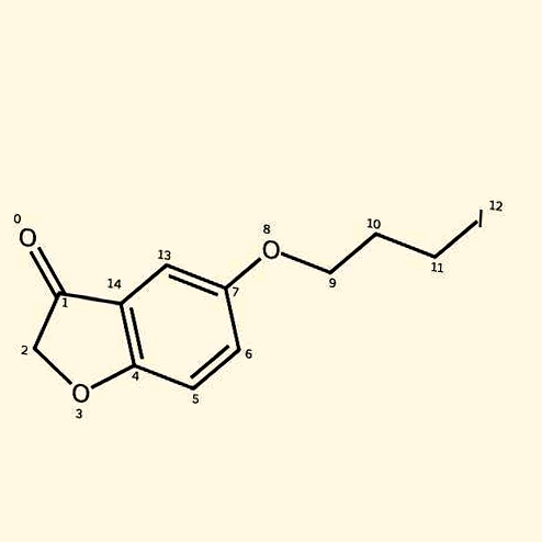 O=C1COc2ccc(OCCCI)cc21